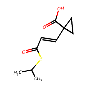 CC(C)SC(=O)C=CC1(C(=O)O)CC1